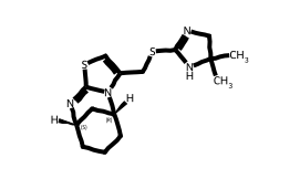 CC1(C)CN=C(SCC2=CSC3=N[C@H]4CCC[C@H](C4)N23)N1